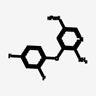 CCCCCc1cnc(N)c(Oc2ccc(F)cc2F)c1